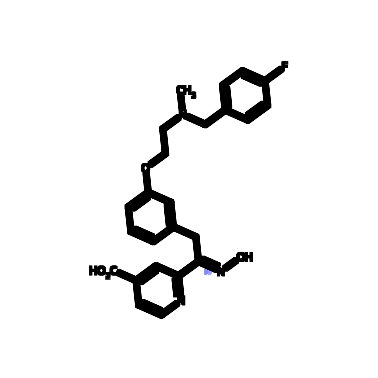 CN(CCOc1cccc(C/C(=N\O)c2cc(C(=O)O)ccn2)c1)Cc1ccc(F)cc1